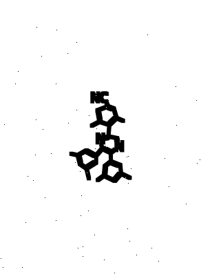 Cc1cc(C)cc(-c2ncc(-c3c(C)cc(C#N)cc3C)nc2-c2cc(C)cc(C)c2)c1